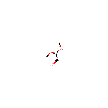 CO[SiH](C=O)OC